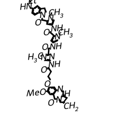 C=C1C[C@H]2C=Nc3cc(OCCCC(=O)Nc4cn(C)c(C(=O)Nc5cc(C(=O)Nc6cc(C(=O)N7CCc8cc(NCC)ccc87)n(C)c6)n(C)c5)n4)c(OC)cc3C(=O)N2C1